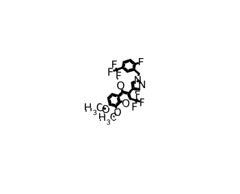 COc1ccc2c(=O)c(-c3cnn(Cc4cc(C(F)(F)F)ccc4F)c3)c(C(F)(F)F)oc2c1OC